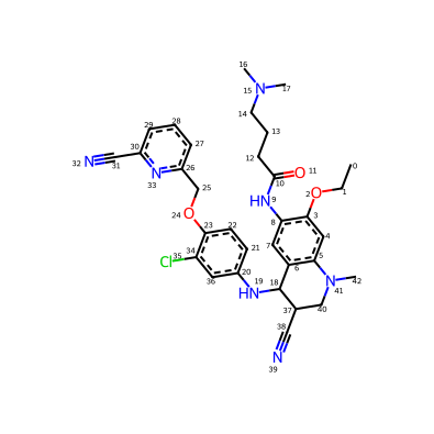 CCOc1cc2c(cc1NC(=O)CCCN(C)C)C(Nc1ccc(OCc3cccc(C#N)n3)c(Cl)c1)C(C#N)CN2C